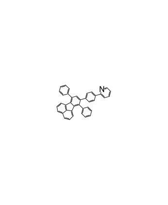 c1ccc(-c2cc(-c3ccc(-c4ccccn4)cc3)c(-c3ccccc3)c3c2-c2cccc4cccc-3c24)cc1